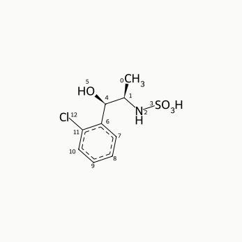 C[C@@H](NS(=O)(=O)O)[C@H](O)c1ccccc1Cl